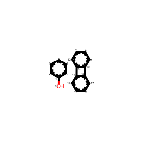 Oc1ccccc1.c1ccc2c(c1)-c1ccccc1-2